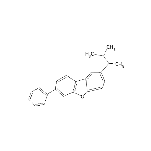 CC(C)C(C)c1ccc2oc3cc(-c4ccccc4)ccc3c2c1